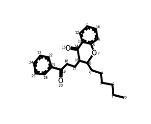 CCCCCCC1Oc2ccccc2C(=O)C1CCC(=O)c1ccccc1